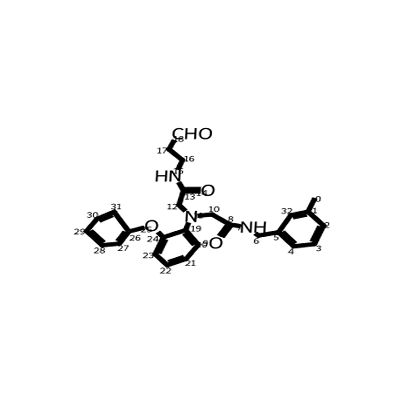 Cc1cccc(CNC(=O)CN(CC(=O)NCCC=O)c2ccccc2Oc2ccccc2)c1